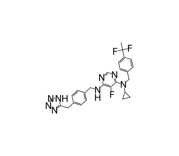 CC(F)(F)c1ccc(CN(c2ncnc(NCc3ccc(Cc4nnn[nH]4)cc3)c2F)C2CC2)cc1